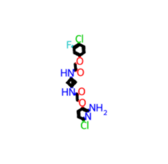 Nc1nc(Cl)ccc1OCC(=O)NC12CC(NC(=O)COc3ccc(Cl)c(F)c3)(C1)C2